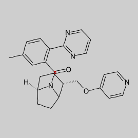 Cc1ccc(-c2ncccn2)c(C(=O)N2C3CC[C@H]2CC[C@@H]3COc2ccncc2)c1